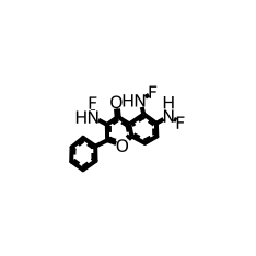 O=c1c(NF)c(-c2ccccc2)oc2ccc(NF)c(NF)c12